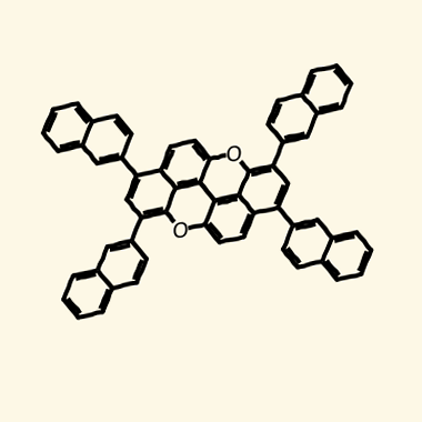 c1ccc2cc(-c3cc(-c4ccc5ccccc5c4)c4oc5ccc6c(-c7ccc8ccccc8c7)cc(-c7ccc8ccccc8c7)c7oc8ccc3c4c8-c5c67)ccc2c1